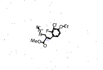 CCOc1ccc(/C=C(\CN=[N+]=[N-])C(=O)OC)c(F)c1Cl